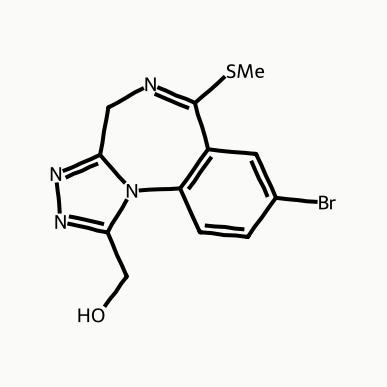 CSC1=NCc2nnc(CO)n2-c2ccc(Br)cc21